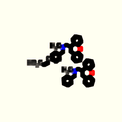 CN(CC1=Cc2ccccc2Oc2ccccc21)Cc1ccccc1.CN(CC1=Cc2ccccc2Oc2ccccc21)Cc1ccccc1.O=C(O)/C=C\C(=O)O